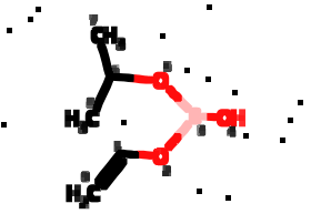 C=COB(O)OC(C)C